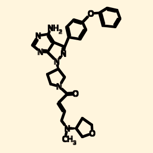 CN(C/C=C/C(=O)N1CC[C@@H](n2nc(-c3ccc(Oc4ccccc4)cc3)c3c(N)ncnc32)C1)[C@H]1CCOC1